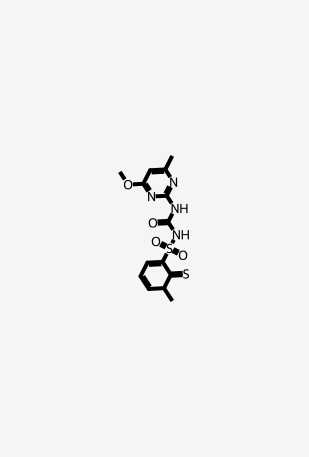 COc1cc(C)nc(NC(=O)NS(=O)(=O)C2=CC=CC(C)C2=S)n1